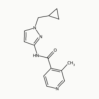 Cc1cnccc1C(=O)Nc1ccn(CC2CC2)n1